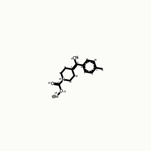 Cc1ccc(C(C#N)=C2CCN(C(=O)OC(C)(C)C)CC2)cc1